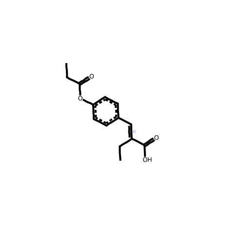 CCC(=O)Oc1ccc(/C=C(\CC)C(=O)O)cc1